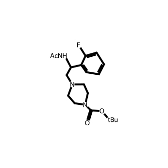 CC(=O)NC(CN1CCN(C(=O)OC(C)(C)C)CC1)c1ccccc1F